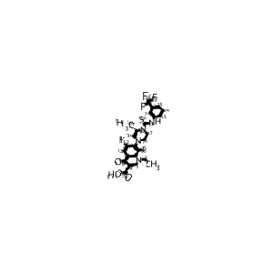 CCn1cc(C(=O)O)c(=O)c2cc(F)c(N3CCN(C(=S)Nc4cccc(C(F)(F)F)c4)C(C)C3)c(F)c21